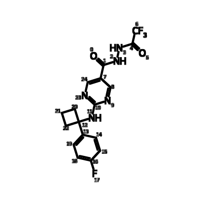 O=C(NNC(=O)C(F)(F)F)c1cnc(NC2(c3ccc(F)cc3)CCC2)nc1